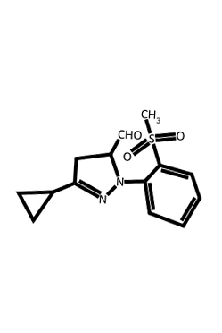 CS(=O)(=O)c1ccccc1N1N=C(C2CC2)CC1C=O